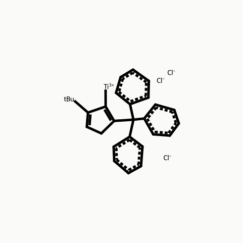 CC(C)(C)C1=CCC(C(c2ccccc2)(c2ccccc2)c2ccccc2)=[C]1[Ti+3].[Cl-].[Cl-].[Cl-]